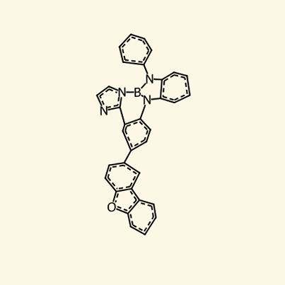 c1ccc(N2B3N(c4ccc(-c5ccc6oc7ccccc7c6c5)cc4-c4nccn43)c3ccccc32)cc1